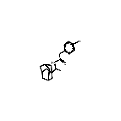 CC(NC(=O)Cc1ccc(Br)cc1)C12CC3CC(CC(C3)C1)C2